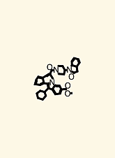 COC(=O)c1ccc2c(C3CCCCC3)c3n(c2c1)CC(C(=O)N1CCC(N2C(=O)CC4C=CC=CC42)CC1)=Cc1ccccc1-3